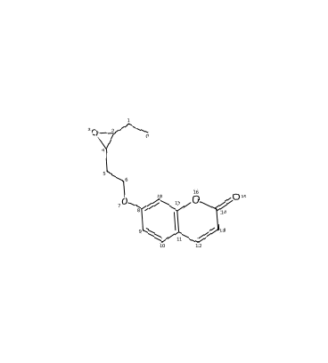 CCC1OC1CCOc1ccc2ccc(=O)oc2c1